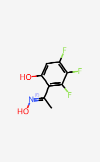 C/C(=N\O)c1c(O)cc(F)c(F)c1F